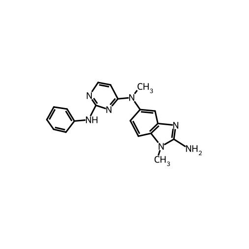 CN(c1ccc2c(c1)nc(N)n2C)c1ccnc(Nc2ccccc2)n1